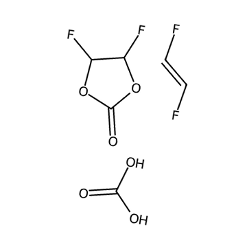 FC=CF.O=C(O)O.O=C1OC(F)C(F)O1